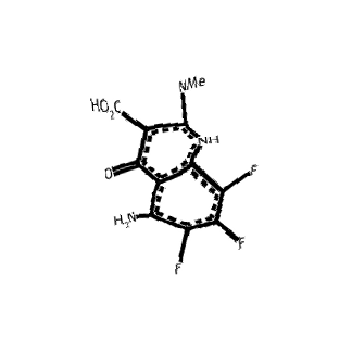 CNc1[nH]c2c(F)c(F)c(F)c(N)c2c(=O)c1C(=O)O